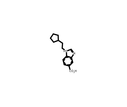 O=C(O)c1ccc2c(c1)N=C[SH]2CCC1CCCC1